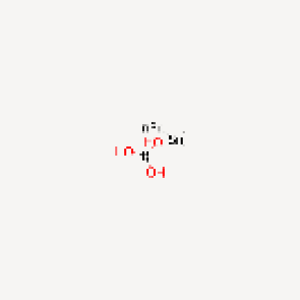 CC[CH2][Sn].OB(O)O